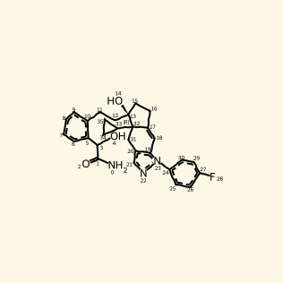 NC(=O)C(O)c1ccccc1CC[C@]1(O)CCC2=Cc3c(cnn3-c3ccc(F)cc3)CC21C1CC1